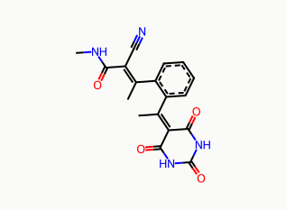 CNC(=O)/C(C#N)=C(\C)c1ccccc1C(C)=C1C(=O)NC(=O)NC1=O